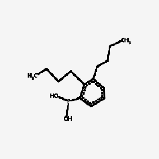 CCCCc1cccc(P(O)O)c1CCCC